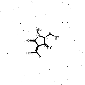 CCCCN1C(=O)/C(=C(/C)O)C(=O)[C@@H]1CC(C)C